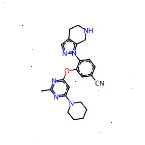 Cc1nc(Oc2cc(C#N)ccc2-n2ncc3c2CNCC3)cc(N2CCCCC2)n1